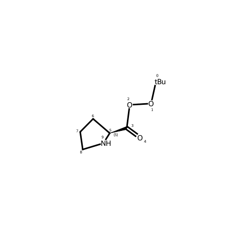 CC(C)(C)OOC(=O)[C@@H]1CCCN1